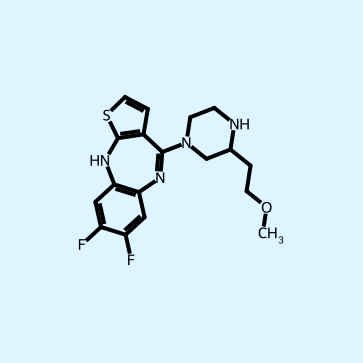 COCCC1CN(C2=Nc3cc(F)c(F)cc3Nc3sccc32)CCN1